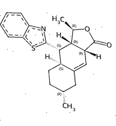 C[C@@H]1CC[C@@H]2C(=C[C@H]3C(=O)O[C@H](C)[C@H]3[C@H]2c2nc3ccccc3s2)C1